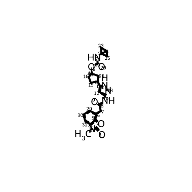 Cn1c(=O)oc2c(CC(=O)Nc3cc(C4CC[C@H](OC(=O)NC56CC5C6)C4)[nH]n3)cccc21